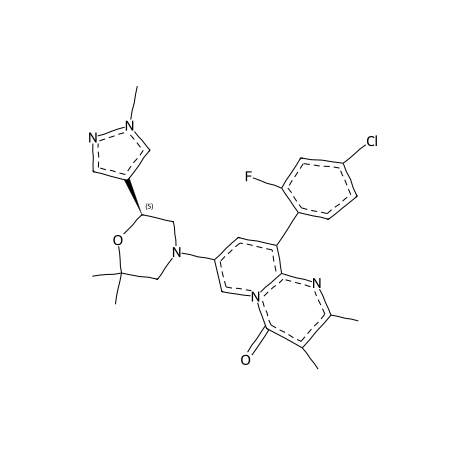 Cc1nc2c(-c3ccc(Cl)cc3F)cc(N3C[C@H](c4cnn(C)c4)OC(C)(C)C3)cn2c(=O)c1C